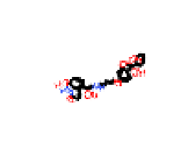 O=C(O)C(O)(c1ccccc1)c1ccc(OCCCCCNCC(O)c2ccc(O)c3[nH]c(=O)ccc23)cc1